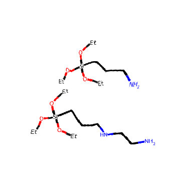 CCO[Si](CCCN)(OCC)OCC.CCO[Si](CCCNCCN)(OCC)OCC